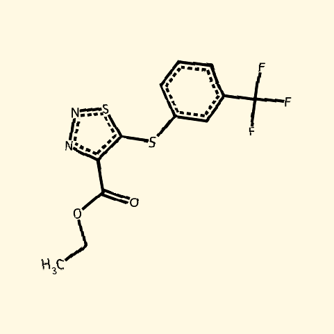 CCOC(=O)c1nnsc1Sc1cccc(C(F)(F)F)c1